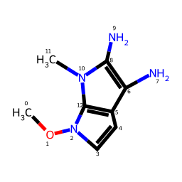 COn1ccc2c(N)c(N)n(C)c21